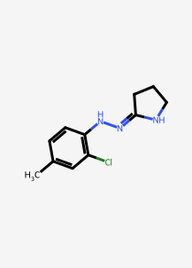 Cc1ccc(NN=C2CCCN2)c(Cl)c1